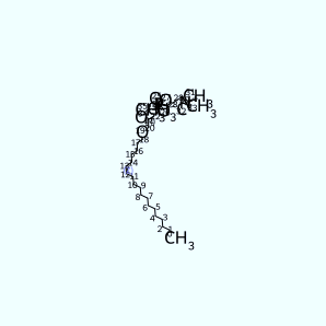 CCCCCCCCCCCC/C=C\CCCCCOC[C@H](COP(=O)([O-])OCC[N+](C)(C)C)OC